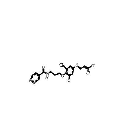 O=C(NCCCOc1c(Cl)cc(OCC=C(Cl)Cl)cc1Cl)c1ccnnc1